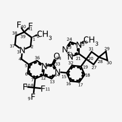 C[C@H]1CN(Cc2cc(C(F)(F)F)c3cn(-c4cccc(C5(c6nncn6C)CC6(CC6)C5)c4)c(=O)n3c2)CCC1(F)F